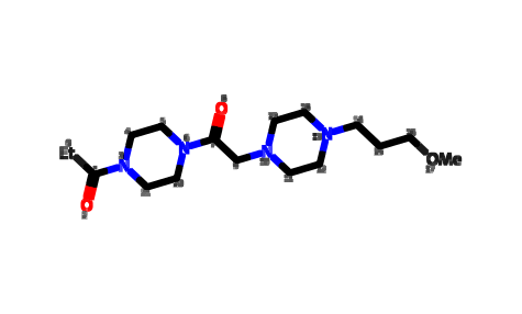 CCC(=O)N1CCN(C(=O)CN2CCN(CCCOC)CC2)CC1